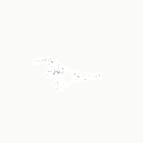 CCCCCC1CC(CC(O)CCCC2CC(CCCC(O)CC)OC(c3ccc(O)cc3)O2)OC(C2=CC=CCC2O)O1